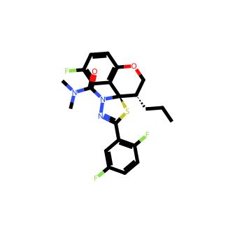 CCC[C@H]1COc2ccc(F)cc2[C@]12SC(c1cc(F)ccc1F)=NN2C(=O)N(C)C